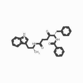 C[C@H](Cc1c[nH]c2ccccc12)NC(=O)CCC(=O)[C@H](Cc1ccccc1)NC(=O)c1ccccc1